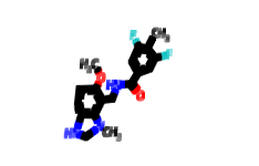 COc1ccc2c(c1CNC(=O)c1cc(F)c(C)c(F)c1)N(C)CN2